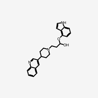 OC(CCN1CCC(c2cnc3ccccc3c2)CC1)Oc1cccc2[nH]ccc12